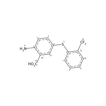 Nc1ccc(Sc2ccccc2C(F)(F)F)cc1C(=O)O